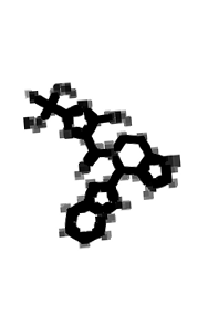 Cc1nc(C(C)(C)F)oc1C(=O)N1CCc2[nH]cnc2C1c1cc2ccccn2n1